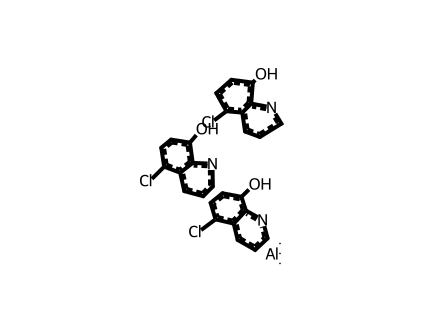 Oc1ccc(Cl)c2cccnc12.Oc1ccc(Cl)c2cccnc12.Oc1ccc(Cl)c2cccnc12.[Al]